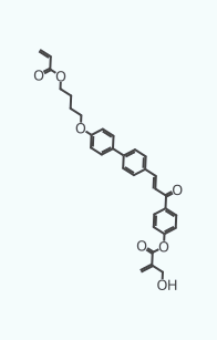 C=CC(=O)OCCCCOc1ccc(-c2ccc(/C=C/C(=O)c3ccc(OC(=O)C(=C)CO)cc3)cc2)cc1